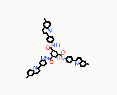 Cc1ccc2nc(-c3ccc(NC(=O)C4CC(C(=O)Nc5ccc(-c6ccc7cc(C)ccc7n6)cc5)CC(C(=O)Nc5ccc(-c6ccc7cc(C)ccc7n6)cc5)C4)cc3)ccc2c1